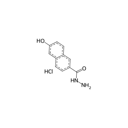 Cl.NNC(=O)c1ccc2cc(O)ccc2c1